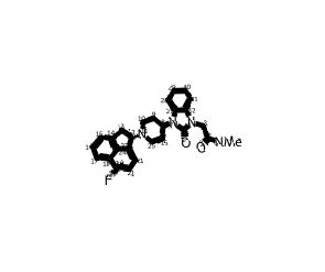 CNC(=O)Cn1c(=O)n(C2CCN([C@@H]3Cc4cccc5c(F)ccc3c45)CC2)c2ccccc21